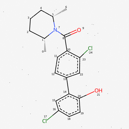 C[C@@H]1CCC[C@H](C)N1C(=O)c1ccc(-c2cc(Cl)ccc2O)cc1Cl